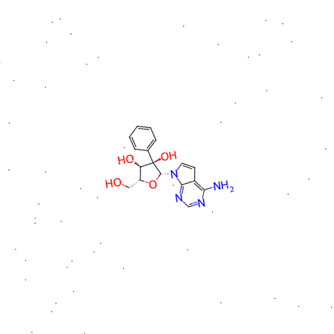 Nc1ncnc2c1ccn2[C@@H]1O[C@H](CO)[C@@H](O)[C@]1(O)c1ccccc1